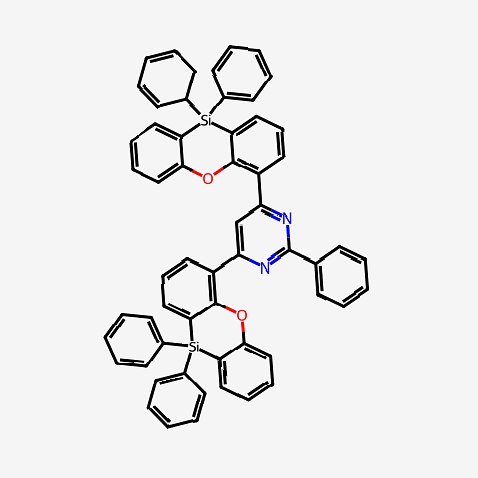 C1=CCC([Si]2(c3ccccc3)c3ccccc3Oc3c(-c4cc(-c5cccc6c5Oc5ccccc5[Si]6(c5ccccc5)c5ccccc5)nc(-c5ccccc5)n4)cccc32)C=C1